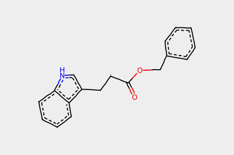 O=C([CH]Cc1c[nH]c2ccccc12)OCc1ccccc1